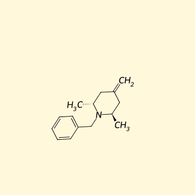 C=C1C[C@@H](C)N(Cc2ccccc2)[C@H](C)C1